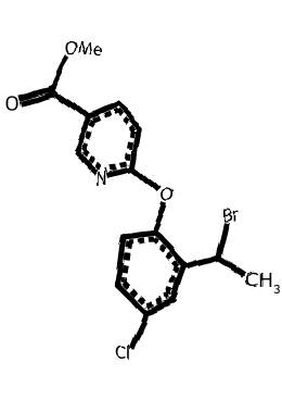 COC(=O)c1ccc(Oc2ccc(Cl)cc2C(C)Br)nc1